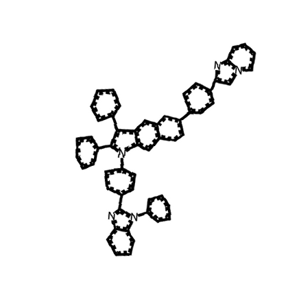 c1ccc(-c2c(-c3ccccc3)n(-c3ccc(-c4nc5ccccc5n4-c4ccccc4)cc3)c3cc4ccc(-c5ccc(-c6cn7ccccc7n6)cc5)cc4cc23)cc1